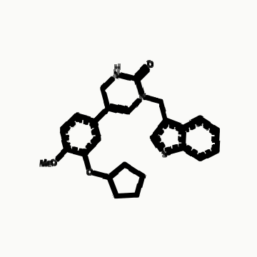 COc1ccc(C2=CN(Cc3csc4ccccc34)C(=O)NC2)cc1OC1CCCC1